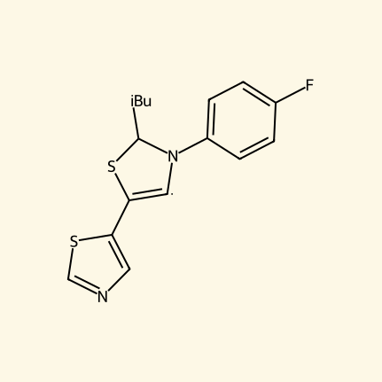 CCC(C)C1SC(c2cncs2)=[C]N1c1ccc(F)cc1